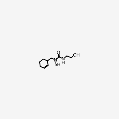 O=C(NCCO)N(S)CC1C=CCCC1